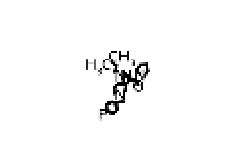 CC(C)CCn1nc(C(=O)N2CCCCC2)c2c1CCN(Cc1ccc(F)cc1)C2